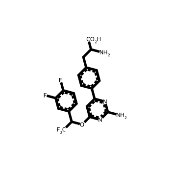 Nc1nc(OC(c2ccc(F)c(F)c2)C(F)(F)F)cc(-c2ccc(CC(N)C(=O)O)cc2)n1